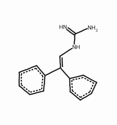 N=C(N)NC=C(c1ccccc1)c1ccccc1